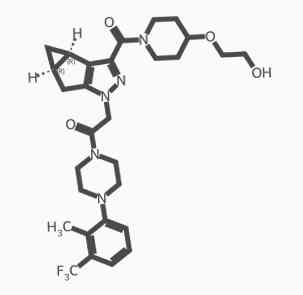 Cc1c(N2CCN(C(=O)Cn3nc(C(=O)N4CCC(OCCO)CC4)c4c3C[C@H]3C[C@@H]43)CC2)cccc1C(F)(F)F